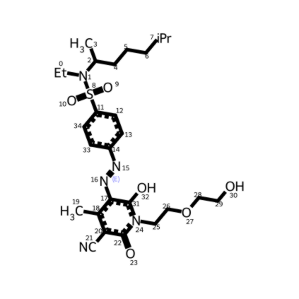 CCN(C(C)CCCC(C)C)S(=O)(=O)c1ccc(/N=N/c2c(C)c(C#N)c(=O)n(CCOCCO)c2O)cc1